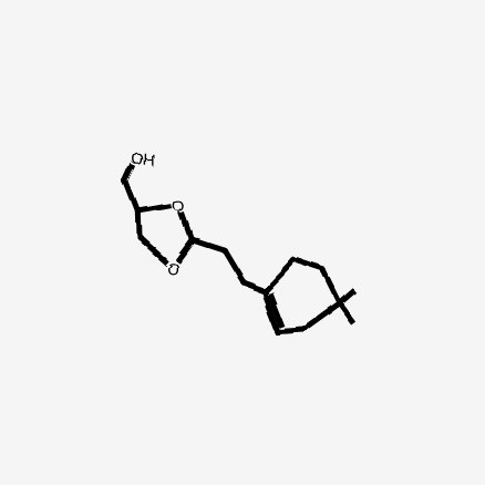 CC1(C)CC=C(CCC2OCC(CO)O2)CC1